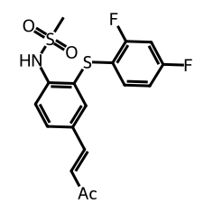 CC(=O)C=Cc1ccc(NS(C)(=O)=O)c(Sc2ccc(F)cc2F)c1